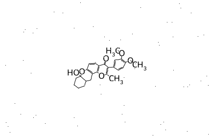 COc1ccc(-c2c(C)oc3c4c(ccc3c2=O)OC2(O)CCCCC2C4)cc1OC